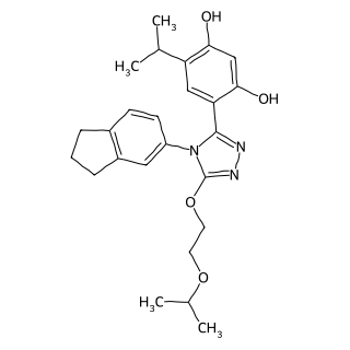 CC(C)OCCOc1nnc(-c2cc(C(C)C)c(O)cc2O)n1-c1ccc2c(c1)CCC2